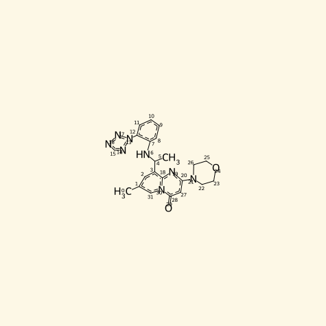 Cc1cc(C(C)Nc2ccccc2-n2ncnn2)c2nc(N3CCOCC3)cc(=O)n2c1